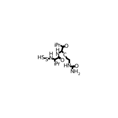 CC(C)C(=O)C(CCCNC(N)=O)NC(=O)C(NSS)C(C)C